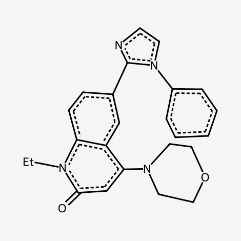 CCn1c(=O)cc(N2CCOCC2)c2cc(-c3nccn3-c3ccccc3)ccc21